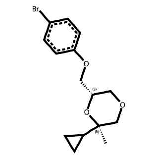 C[C@@]1(C2CC2)COC[C@@H](COc2ccc(Br)cc2)O1